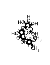 COc1ccc(-c2oc3cc(OC4OC(OC(=O)O)C(O)C(O)C4O)cc(O)c3c(=O)c2O)cc1OC